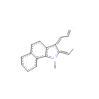 C=C/C=c1\c(=C/C)n(C)c2c1ccc1ccccc12